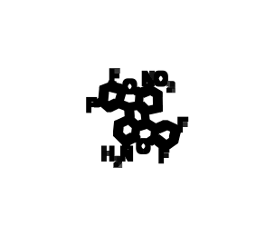 Nc1ccc2c3c1oc1c(F)cc(F)cc1c3c1ccc([N+](=O)[O-])c3oc4c(F)cc(F)cc4c2c31